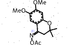 COc1cc2c(cc1OC)/C(=N/OC(C)=O)CC(C)(C)O2